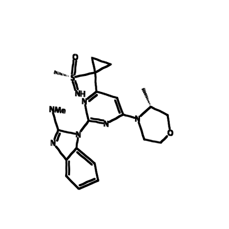 CNc1nc2ccccc2n1-c1nc(N2CCOC[C@H]2C)cc(C2([S@@](C)(=N)=O)CC2)n1